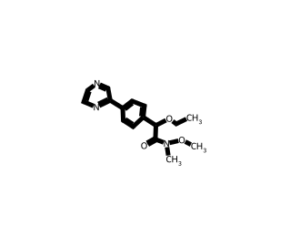 CCOC(C(=O)N(C)OC)c1ccc(-c2cnccn2)cc1